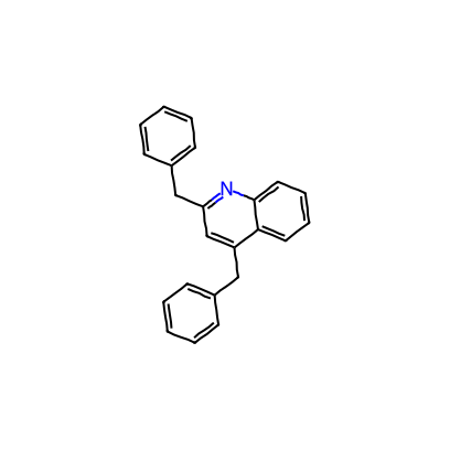 c1ccc(Cc2cc(Cc3ccccc3)c3ccccc3n2)cc1